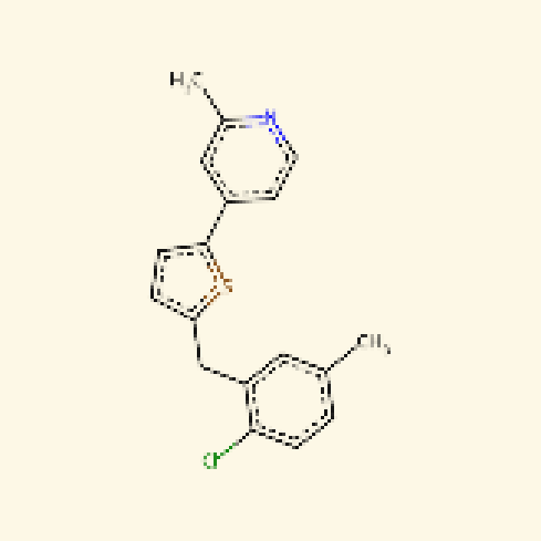 Cc1ccc(Cl)c(Cc2ccc(-c3ccnc(C)c3)s2)c1